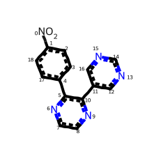 O=[N+]([O-])c1ccc(-c2nccnc2-c2cncnc2)cc1